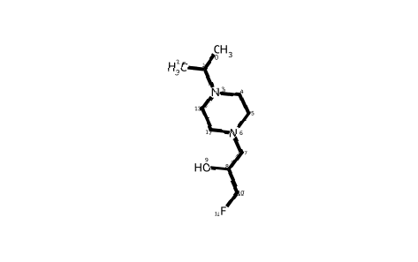 CC(C)N1CCN(CC(O)CF)CC1